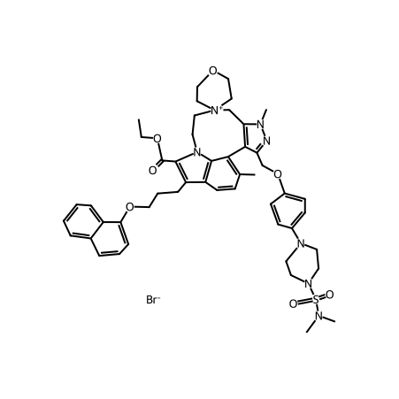 CCOC(=O)c1c(CCCOc2cccc3ccccc23)c2ccc(C)c3c2n1CC[N+]1(CCOCC1)Cc1c-3c(COc2ccc(N3CCN(S(=O)(=O)N(C)C)CC3)cc2)nn1C.[Br-]